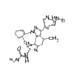 CCNc1ccc(-c2nn(-c3ccccc3C)c3c2C(C)Cc2nc(NC(N)=O)sc2-3)cn1